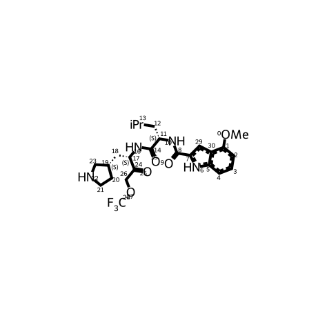 COc1cccc2[nH]c(C(=O)N[C@@H](CC(C)C)C(=O)N[C@@H](C[C@@H]3CCNC3)C(=O)COC(F)(F)F)cc12